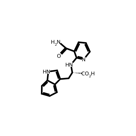 NC(=O)c1cccnc1N[C@@H](Cc1c[nH]c2ccccc12)C(=O)O